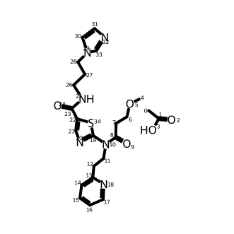 CC(=O)O.COCCC(=O)N(CCc1ccccn1)c1ncc(C(=O)NCCCn2ccnc2)s1